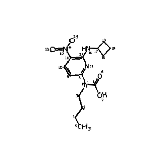 CCCCN(C(=O)O)c1ccc([N+](=O)[O-])c(NC2CCC2)n1